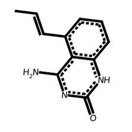 CC=Cc1cccc2[nH]c(=O)nc(N)c12